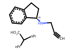 C#CCN[C@@H]1CCc2ccccc21.CCCC(CCC)C(=O)O